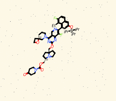 CCc1c(F)ccc2cc(O[Si](C(C)C)(C(C)C)C(C)C)cc(-c3ncc4c(N5CCC[C@]6(CCO6)C5)nc(OC[C@@]56CCCN5[C@H](COC(=O)N5CCC(=O)CC5)CC6)nc4c3F)c12